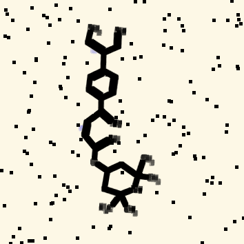 CC1(C)CC(OC(=N)/C=C\C(=N)c2ccc(/C(C=N)=C/N)cc2)CC(C)(C)N1